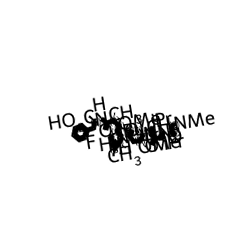 CC[C@H](C)[C@@H]([C@@H](CC(=O)N1[C@H]2[C@@H](C)[C@H]2C[C@H]1[C@H](OC)[C@@H](C)C(=O)N[C@@H](Cc1ccccc1F)C(=O)O)OC)N(C)C(=O)[C@@H](NC(=O)[C@@H](NC)C(C)C)C(C)C